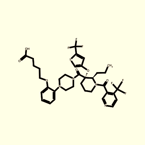 CCC[C@H]1N(C(=O)c2cnccc2C(F)(F)F)CCC[C@@]1(Oc1csc(C(F)(F)F)c1)C(=O)N1CCN(c2ccccc2OCCCCC(=O)O)CC1